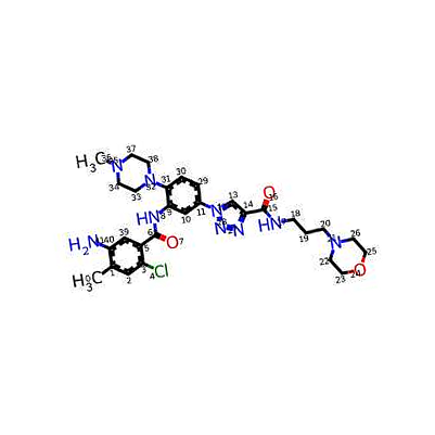 Cc1cc(Cl)c(C(=O)Nc2cc(-n3cc(C(=O)NCCCN4CCOCC4)nn3)ccc2N2CCN(C)CC2)cc1N